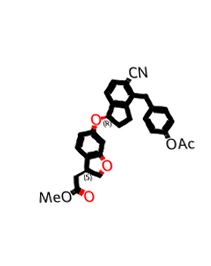 COC(=O)C[C@@H]1COc2cc(O[C@@H]3CCc4c3ccc(C#N)c4Cc3ccc(OC(C)=O)cc3)ccc21